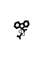 C=C(C)C(=O)OC1(C(C)C)c2ccccc2-c2ccccc21